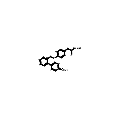 CCCCCCCC(F)Cc1ccc(OCc2ccccc2-c2ccc(CCCCCC)cc2)cc1